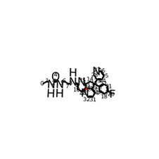 CCNC(=O)NCCNc1cccc(CC(c2ccc(F)cc2)(c2cccnc2)c2cccnc2)n1